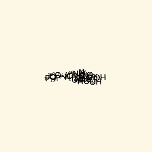 CO[C@@H]1CN(CCCOc2ccc(F)cc2)CC[C@@H]1Nc1ncnc2c1ncn2[C@@H]1O[C@H](CO)[C@@H](O)[C@H]1O